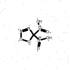 O=[PH](O)C1([PH](=O)O)N=NOO1